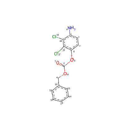 Nc1ccc(OC(=O)OCc2ccccc2)c(Cl)c1Cl